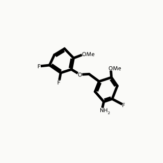 COc1cc(F)c(N)cc1COc1c(OC)ccc(F)c1F